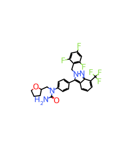 NC(=O)N(CC1CCCO1)c1ccc(-c2c3cccc(C(F)(F)F)c3nn2Cc2c(F)cc(F)cc2F)cc1